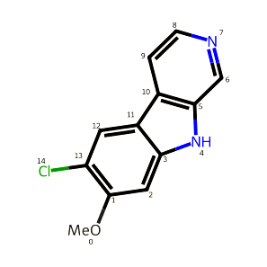 COc1cc2[nH]c3cnccc3c2cc1Cl